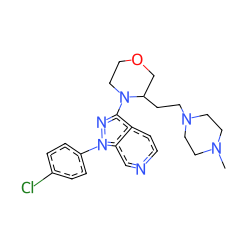 CN1CCN(CCC2COCCN2c2nn(-c3ccc(Cl)cc3)c3cnccc23)CC1